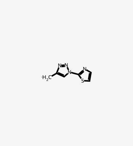 [CH2]c1cn(-c2nccs2)nn1